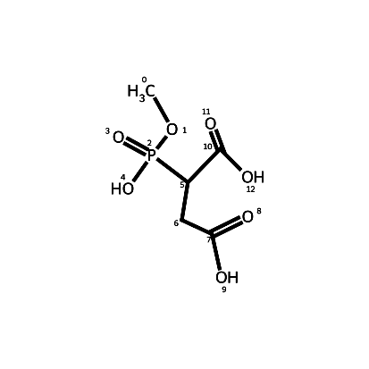 COP(=O)(O)C(CC(=O)O)C(=O)O